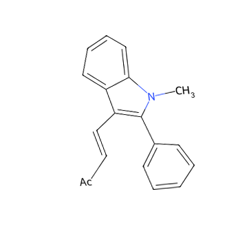 CC(=O)C=Cc1c(-c2ccccc2)n(C)c2ccccc12